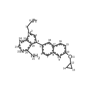 CC(C)Cn1cc(-c2ccc3nc(OC4CC4)ccc3c2)c2c(N)ncnc21